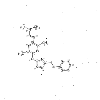 Cc1cc(Oc2nc(COc3ccccc3)ns2)c(C)cc1/N=C/N(C)C